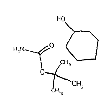 CC(C)(C)OC(N)=O.OC1CCCCC1